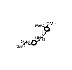 COc1ccc(CNC(=O)NCc2ccc(CNC(=O)OC(C)(C)C)cc2)cc1OC